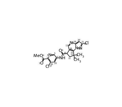 COC(=O)c1ncc(NC(=O)C2CC(C)(C)c3c2cnc2cc(Cl)nn32)cc1Cl